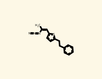 C/C(=C/c1ccc(CCc2ccccc2)s1)N=[N+]=[N-]